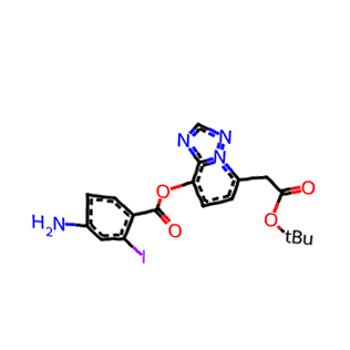 CC(C)(C)OC(=O)Cc1ccc(OC(=O)c2ccc(N)cc2I)c2ncnn12